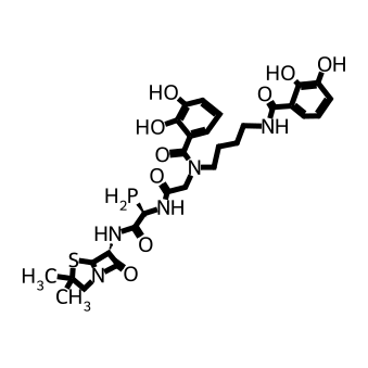 CC1(C)CN2C(=O)[C@@H](NC(=O)[C@@H](P)NC(=O)CN(CCCCNC(=O)c3cccc(O)c3O)C(=O)c3cccc(O)c3O)C2S1